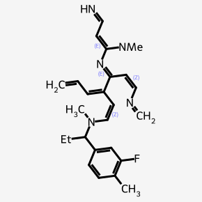 C=CC=C(/C=C\N(C)C(CC)c1ccc(C)c(F)c1)C(/C=C\N=C)=N/C(=C/C=N)NC